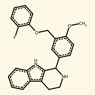 COc1ccc(C2NCCc3c2[nH]c2ccccc32)cc1COc1ccccc1F